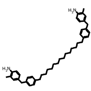 Cc1cc(Cc2ccc(CCCCCCCCCCCCCCCc3ccc(Cc4ccc(N)c(C)c4)cc3)cc2)ccc1N